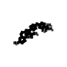 CC1=CC2CCn3nc(-c4ccc(Oc5ccc(C(C)(C)C)cc5)cc4)c(C(N)=O)c3NC2C=C1